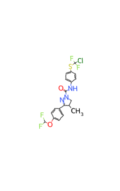 CC1CN(C(=O)Nc2ccc(SC(F)(F)Cl)cc2)N=C1c1ccc(OC(F)F)cc1